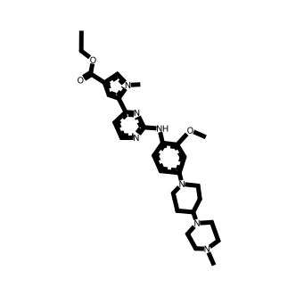 CCOC(=O)c1cc(-c2ccnc(Nc3ccc(N4CCC(N5CCN(C)CC5)CC4)cc3OC)n2)n(C)c1